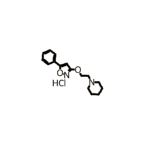 Cl.c1ccc(-c2cc(OCCN3CCCCC3)no2)cc1